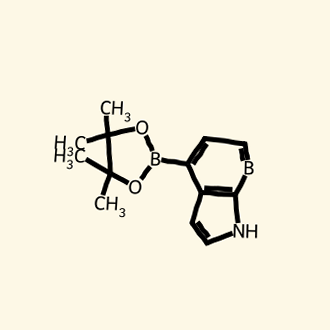 CC1(C)OB(c2ccbc3[nH]ccc23)OC1(C)C